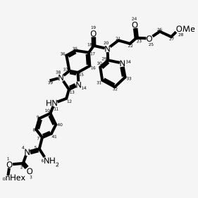 CCCCCCOC(=O)/N=C(\N)c1ccc(NCc2nc3cc(C(=O)N(CCC(=O)OCCOC)c4ccccn4)ccc3n2C)cc1